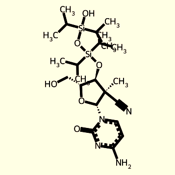 CC(C)[Si](O)(O[Si](O[C@@H]1[C@@H](CO)O[C@@H](n2ccc(N)nc2=O)[C@]1(C)C#N)(C(C)C)C(C)C)C(C)C